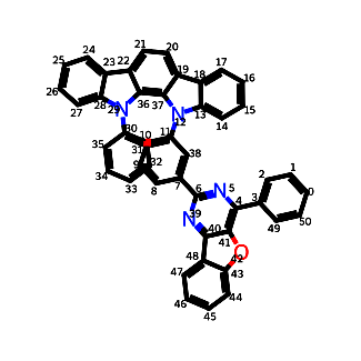 c1ccc(-c2nc(-c3cccc(-n4c5ccccc5c5ccc6c7ccccc7n(-c7ccccc7)c6c54)c3)nc3c2oc2ccccc23)cc1